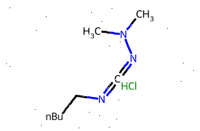 CCCCCN=C=NN(C)C.Cl